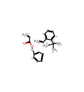 C=CC(=O)OCc1ccccc1.C=Cc1ccccc1C(C)(C)C